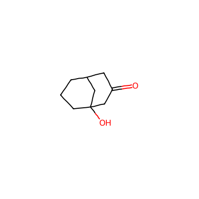 O=C1CC2CCCC(O)(C1)C2